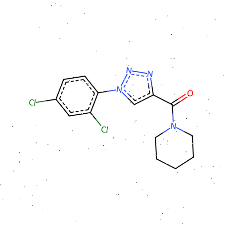 O=C(c1cn(-c2ccc(Cl)cc2Cl)nn1)N1CCCCC1